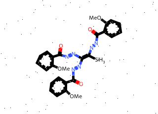 COc1ccccc1C(=O)N=NC([SiH3])=C(N=NC(=O)c1ccccc1OC)N=NC(=O)c1ccccc1OC